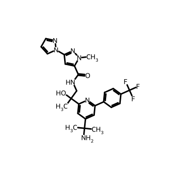 Cn1nc(-n2cccn2)cc1C(=O)NCC(C)(O)c1cc(C(C)(C)N)cc(-c2ccc(C(F)(F)F)cc2)n1